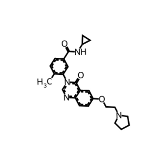 Cc1ccc(C(=O)NC2CC2)cc1-n1cnc2ccc(OCCN3CCCC3)cc2c1=O